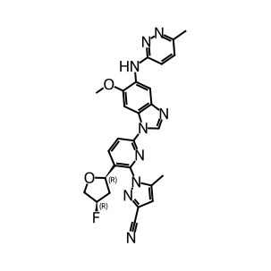 COc1cc2c(cc1Nc1ccc(C)nn1)ncn2-c1ccc([C@H]2C[C@@H](F)CO2)c(-n2nc(C#N)cc2C)n1